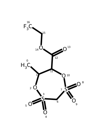 CC1OS(=O)(=O)CS(=O)(=O)OC1C(=O)OCC(F)(F)F